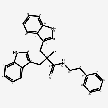 [CH2]C(Cc1c[nH]c2ccccc12)(Cc1c[nH]c2ccccc12)C(=O)NCCc1ccccc1